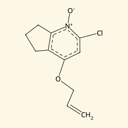 C=CCOc1cc(Cl)[n+]([O-])c2c1CCC2